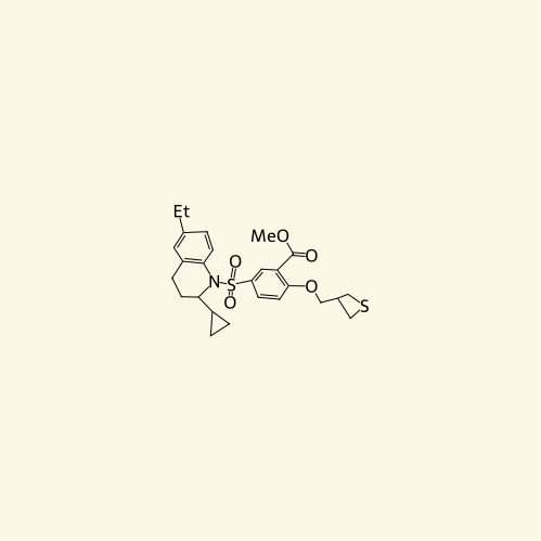 CCc1ccc2c(c1)CCC(C1CC1)N2S(=O)(=O)c1ccc(OCC2CSC2)c(C(=O)OC)c1